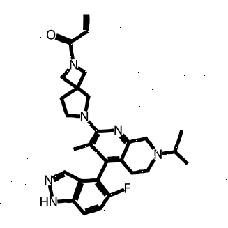 C=CC(=O)N1CC2(CCN(c3nc4c(c(-c5c(F)ccc6[nH]ncc56)c3C)CCN(C(C)C)C4)C2)C1